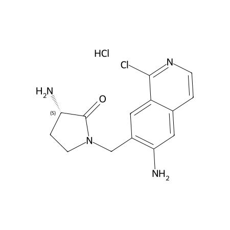 Cl.Nc1cc2ccnc(Cl)c2cc1CN1CC[C@H](N)C1=O